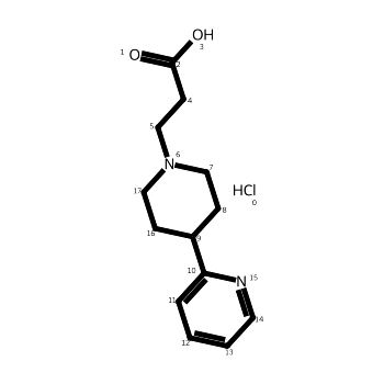 Cl.O=C(O)CCN1CCC(c2ccccn2)CC1